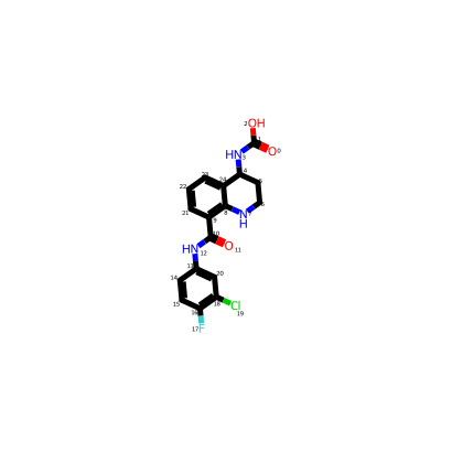 O=C(O)NC1CCNc2c(C(=O)Nc3ccc(F)c(Cl)c3)cccc21